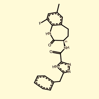 Cc1cc(F)c2c(c1)CC[C@@H](NC(=O)c1nnc(Cc3ccccc3)[nH]1)C(=O)N2